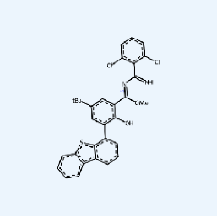 CO/C(=N\C(=N)c1c(Cl)cccc1Cl)c1cc(C(C)(C)C)cc(-c2cccc3c2sc2ccccc23)c1O